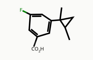 CC1CC1(C)c1cc(F)cc(C(=O)O)c1